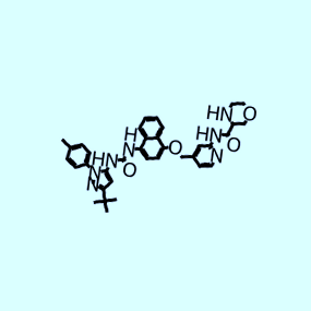 Cc1ccc(-n2nc(C(C)(C)C)cc2NC(=O)Nc2ccc(OCc3ccnc(NC(=O)C4COCCN4)c3)c3ccccc23)cc1